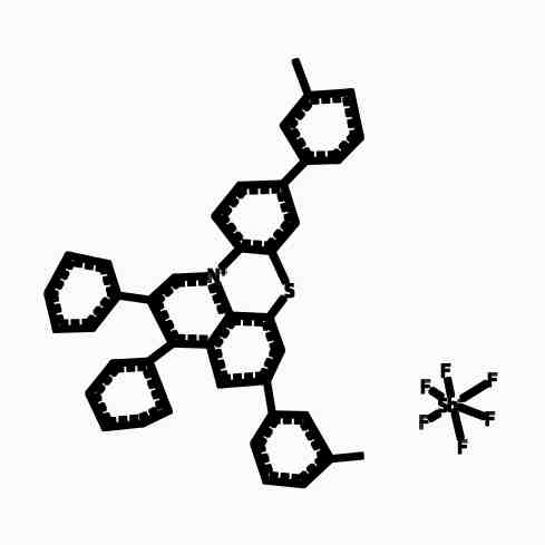 Cc1cccc(-c2ccc3c(c2)Sc2cc(-c4cccc(C)c4)cc4c(-c5ccccc5)c(-c5ccccc5)c[n+]-3c24)c1.[F][Sb-]([F])([F])([F])([F])[F]